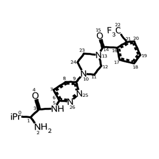 CC(C)C(N)C(=O)Nc1ccc(N2CCN(C(=O)c3ccccc3C(F)(F)F)CC2)nn1